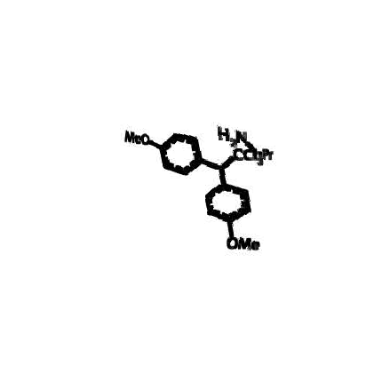 CCCN.COc1ccc(C(c2ccc(OC)cc2)C(Cl)(Cl)Cl)cc1